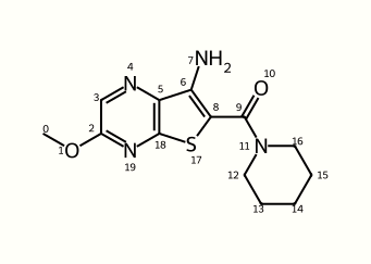 COc1cnc2c(N)c(C(=O)N3CCCCC3)sc2n1